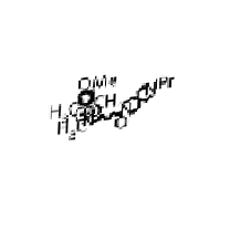 COc1cc(C)c(S(=O)(=O)N(C)CCCCC(=O)N2CCC3(CC2)CCN(C(C)C)CC3)c(C)c1